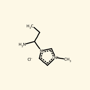 CCC(N)n1cc[n+](C)c1.[Cl-]